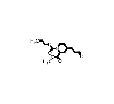 C=CCOC(=O)N1CCC(CCC=O)CC1C(=O)OC